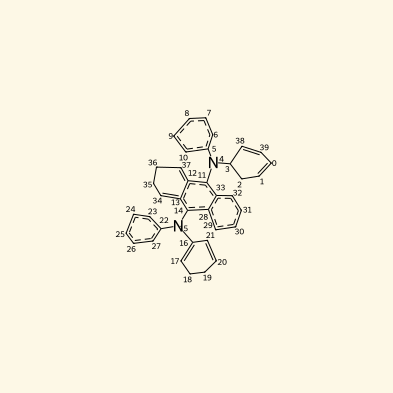 C1=CCC(N(c2ccccc2)c2c3c(c(N(C4=CCCC=C4)c4ccccc4)c4ccccc24)=CCCC=3)C=C1